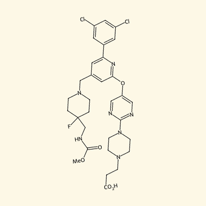 COC(=O)NCC1(F)CCN(Cc2cc(Oc3cnc(N4CCN(CCC(=O)O)CC4)nc3)nc(-c3cc(Cl)cc(Cl)c3)c2)CC1